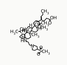 C=C(C)[C@@H]1CC[C@]2(NCCN3CCC(S(C)(=O)=O)CC3)CC[C@]3(C)[C@H](CC[C@@H]4[C@@]5(C)CC=C(/C(=C/CC)CCC(=O)O)C(C)(C)[C@@H]5CC[C@]43C)[C@@H]12